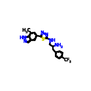 Cc1cc(-c2nnc(NCC(N)Cc3ccc(C(F)(F)F)cc3)s2)cc2cn[nH]c12